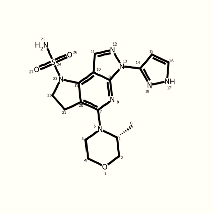 C[C@@H]1COCCN1c1nc2c(cnn2-c2cc[nH]n2)c2c1CCN2S(N)(=O)=O